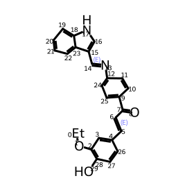 CCOc1cc(/C=C/C(=O)c2ccc(/N=C/c3c[nH]c4ccccc34)cc2)ccc1O